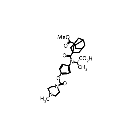 COC(=O)C12CC3CC(C1)CC(C(=O)N(c1ccc(OC(=O)N4CCN(C)CC4)cc1)[C@@H](C)C(=O)O)(C3)C2